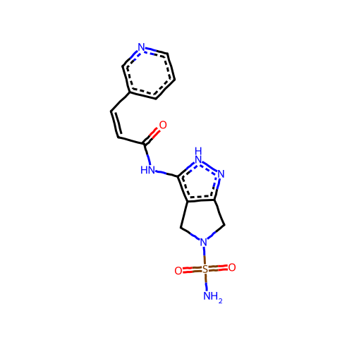 NS(=O)(=O)N1Cc2n[nH]c(NC(=O)/C=C\c3cccnc3)c2C1